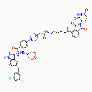 O=C(CN1CCN(c2ccc(C(=O)Nc3n[nH]c4ccc(Cc5cc(F)cc(F)c5)cc34)c(NC3CCOCC3)c2)CC1)NCCCCCNc1cccc2c1C(=O)N(C1CCC(=O)NC1=O)C2=O